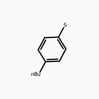 CCCCc1ccc([S])cc1